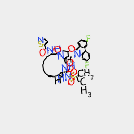 CCC(C)S(=O)(=O)NC(=O)[C@@]12C[C@H]1/C=C\CCCCC[C@H](NC(=O)c1ccns1)C(=O)N1C[C@H](Oc3nc4cc(F)ccc4c4cc(F)ccc34)C[C@H]1C(=O)N2